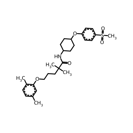 Cc1ccc(C)c(OCCCC(C)(C)C(=O)NC2CCC(Oc3ccc(S(C)(=O)=O)cc3)CC2)c1